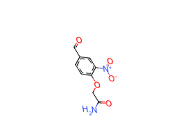 NC(=O)COc1ccc(C=O)cc1[N+](=O)[O-]